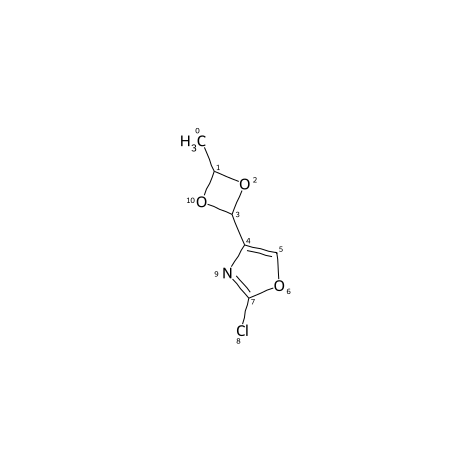 CC1OC(c2coc(Cl)n2)O1